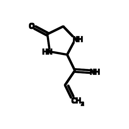 C=CC(=N)C1NCC(=O)N1